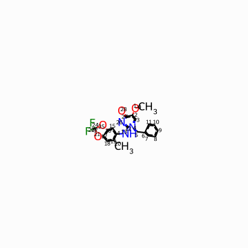 COc1cn(Cc2ccccc2)c(Nc2cc3c(cc2C)OC(F)(F)O3)nc1=O